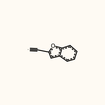 [C]#Cc1cc2ccccc2o1